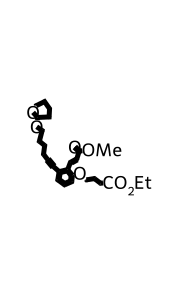 CCOC(=O)CCCOc1cccc(C#CCCCCOC2CCCCO2)c1C=CC(=O)OC